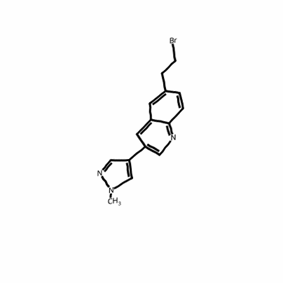 Cn1cc(-c2cnc3ccc(CCBr)cc3c2)cn1